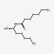 NCCCCCC(=O)N[C@H]([C]=O)CCCCN